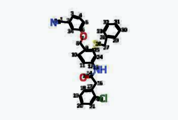 N#Cc1cccc(OCc2ccc(NC(=O)Cc3ccccc3Cl)cc2SCc2ccccc2)c1